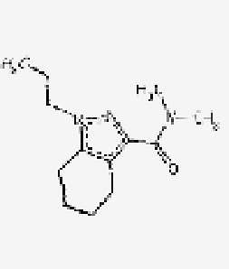 CCCn1nc(C(=O)N(C)C)c2c1CCCC2